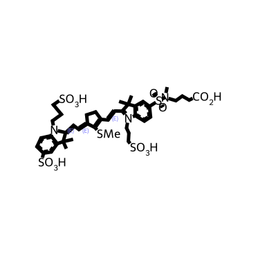 CSC1=C(/C=C/C2=[N+](CCCS(=O)(=O)O)c3ccc(S(=O)(=O)N(C)CCCC(=O)O)cc3C2(C)C)CC/C1=C\C=C1\N(CCCS(=O)(=O)O)c2ccc(S(=O)(=O)O)cc2C1(C)C